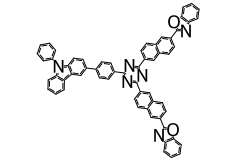 c1ccc(-n2c3ccccc3c3cc(-c4ccc(-c5nc(-c6ccc7cc(-c8nc9ccccc9o8)ccc7c6)nc(-c6ccc7cc(-c8nc9ccccc9o8)ccc7c6)n5)cc4)ccc32)cc1